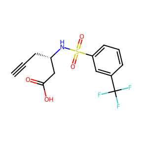 C#CC[C@@H](CC(=O)O)NS(=O)(=O)c1cccc(C(F)(F)F)c1